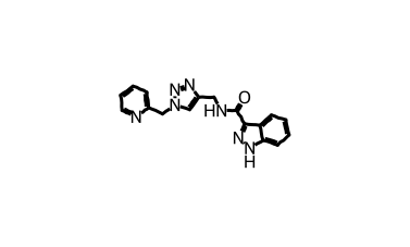 O=C(NCc1cn(Cc2ccccn2)nn1)c1n[nH]c2ccccc12